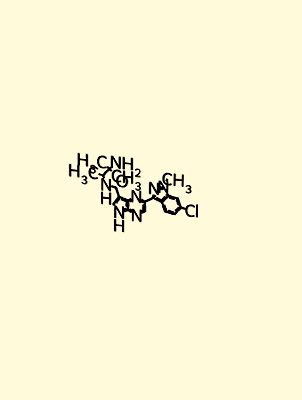 C[C@H](NC(=O)c1c[nH]c2ncc(-c3nn(C)c4cc(Cl)ccc34)nc12)C(C)(C)N